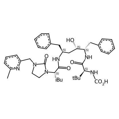 CCC(C)[C@@H](C(=O)N[C@@H](Cc1ccccc1)C[C@H](O)[C@H](Cc1ccccc1)NC(=O)[C@@H](NC(=O)O)C(C)(C)C)N1CCN(Cc2cccc(C)n2)C1=O